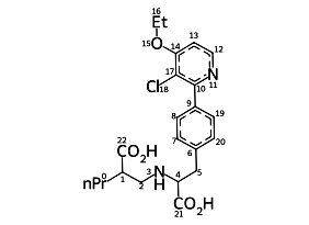 CCCC(CNC(Cc1ccc(-c2nccc(OCC)c2Cl)cc1)C(=O)O)C(=O)O